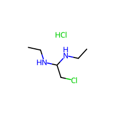 CCNC(CCl)NCC.Cl